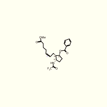 COC(=O)CCC/C=C\C[C@@H]1[C@@H](NC(=O)C(F)(F)F)CC[C@@H]1OC(=O)c1ccccc1